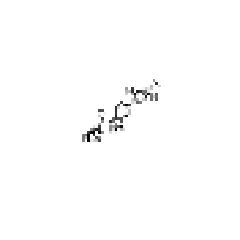 O=C(c1nsc2cc(N3C[C@@H]4C[C@H]3CN4C3CC3)ccc12)N1CCN2CCC1CC2